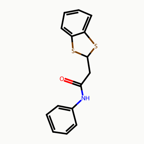 O=C(CC1Sc2ccccc2S1)Nc1ccccc1